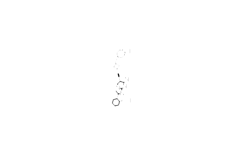 Nc1nc2nc(-c3ccccc3O)cn2cc1C#C[C@H]1C[C@H](OC2CCNCC2)C1